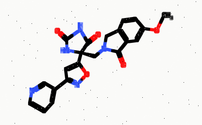 COc1ccc2c(c1)C(=O)N(C[C@@]1(c3cc(-c4cccnc4)no3)NC(=O)NC1=O)C2